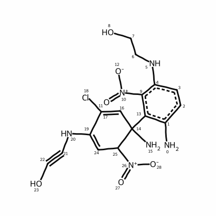 Nc1ccc(NCCO)c([N+](=O)[O-])c1C1(N)C=C(Cl)C(NC#CO)=CC1[N+](=O)[O-]